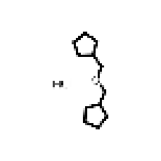 C1CCC(COCC2CCCC2)C1.Cl